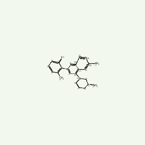 Cc1cccc(F)c1-c1cc(N2CCC[C@H](N)C2)c2cc(N)ncc2c1